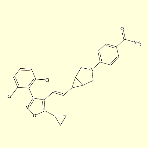 NC(=O)c1ccc(N2CC3C(C=Cc4c(-c5c(Cl)cccc5Cl)noc4C4CC4)C3C2)cc1